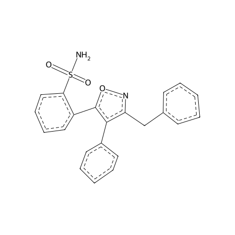 NS(=O)(=O)c1ccccc1-c1onc(Cc2ccccc2)c1-c1ccccc1